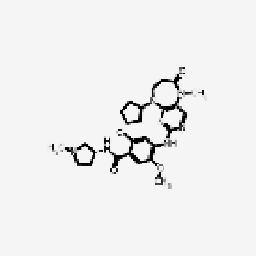 COc1cc(C(=O)N[C@@H]2CCN(C)C2)c(Cl)cc1Nc1ncc2c(n1)N(C1CCCC1)CCC(=O)N2C